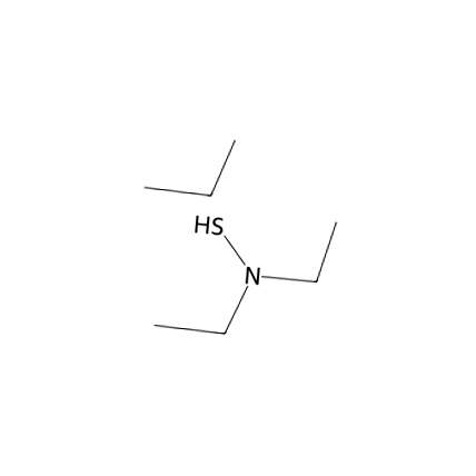 CCC.CCN(S)CC